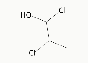 CC(Cl)C(O)Cl